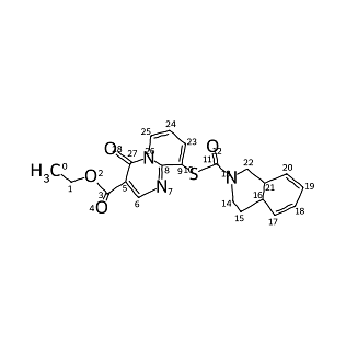 CCOC(=O)c1cnc2c(SC(=O)N3CCC4C=CC=CC4C3)cccn2c1=O